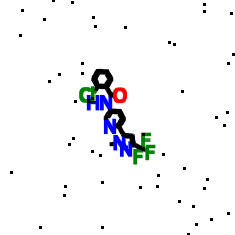 Cn1nc(C(F)(F)F)cc1-c1ccc(NC(=O)c2ccccc2Cl)cn1